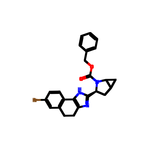 O=C(OCc1ccccc1)N1C2CC2C[C@H]1c1nc2c([nH]1)-c1ccc(Br)cc1CC2